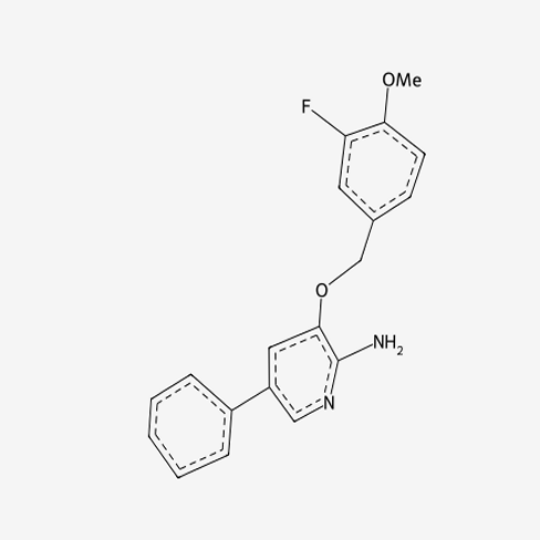 COc1ccc(COc2cc(-c3ccccc3)cnc2N)cc1F